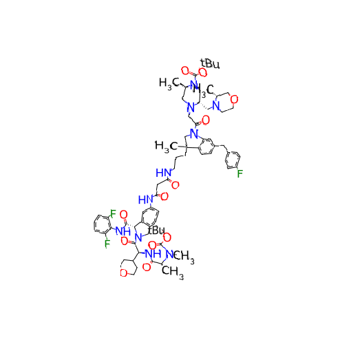 C[C@@H]1COCCN1C[C@H]1CN(C(=O)OC(C)(C)C)[C@H](C)CN1CC(=O)N1CC(C)(CCCNC(=O)CC(=O)Nc2ccc3c(c2)[C@@H](C(=O)Nc2c(F)cccc2F)N(C(=O)[C@@H](NC(=O)[C@H](C)N(C)C(=O)OC(C)(C)C)C2CCOCC2)C3)c2ccc(Cc3ccc(F)cc3)cc21